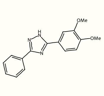 COc1ccc(-c2nc(-c3ccccc3)n[nH]2)cc1OC